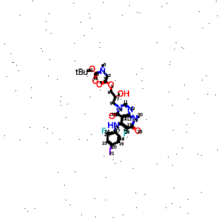 CN(CC(=O)OC[C@H](O)Cn1cnc2c(c(Nc3ccc(I)cc3F)c(F)c(=O)n2C)c1=O)C(=O)OC(C)(C)C